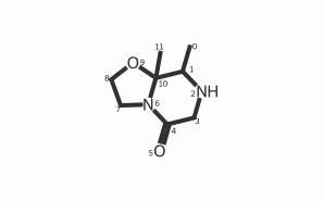 CC1NCC(=O)N2CCOC12C